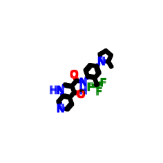 CC1CCCN1c1ccc(NC(=O)c2c[nH]c3cnccc3c2=O)c(C(F)(F)F)c1